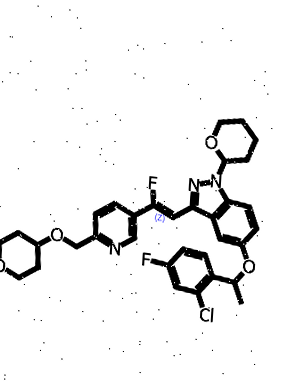 CC(Oc1ccc2c(c1)c(/C=C(\F)c1ccc(COC3CCOCC3)nc1)nn2C1CCCCO1)c1ccc(F)cc1Cl